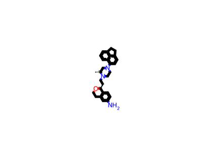 C[C@@H]1CN(c2ccc3c4c(cccc24)CC3)CCN1CC[C@@H]1OCCc2cc(N)ccc21